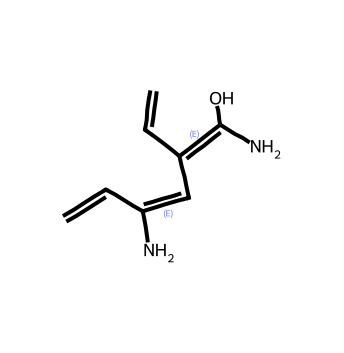 C=C/C(N)=C\C(C=C)=C(/N)O